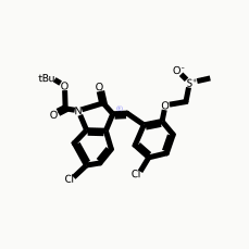 C[S+]([O-])COc1ccc(Cl)cc1/C=C1/C(=O)N(C(=O)OC(C)(C)C)c2cc(Cl)ccc21